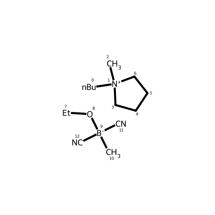 CCCC[N+]1(C)CCCC1.CCO[B-](C)(C#N)C#N